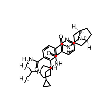 CC(C)N1CC[C@@H](NC(=O)c2ccc(N3[C@@H]4CC[C@H]3C[C@@H](NC(=O)c3ccc(C(N)=O)c(NCC5CC5)c3)C4)nc2)C1